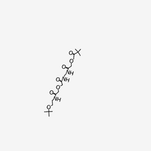 CC(C)(C)OCCNC(=O)COCC(=O)NCNC(=O)COCC(=O)C(C)(C)C